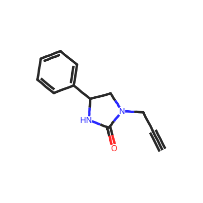 C#CCN1CC(c2ccccc2)NC1=O